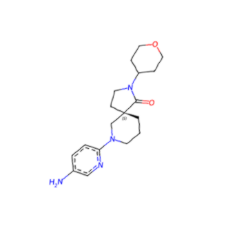 Nc1ccc(N2CCC[C@]3(CCN(C4CCOCC4)C3=O)C2)nc1